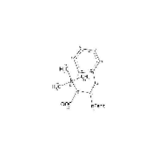 CCCCCC(Cc1ccccc1)C(C(=O)[O-])[N+](C)(C)C